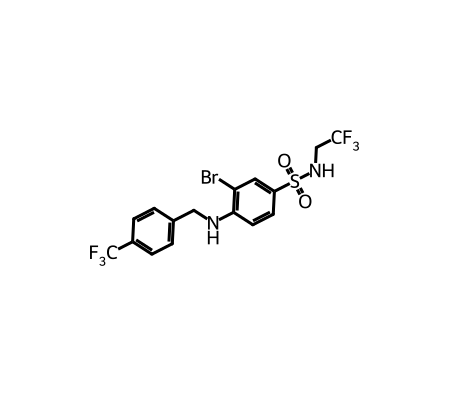 O=S(=O)(NCC(F)(F)F)c1ccc(NCc2ccc(C(F)(F)F)cc2)c(Br)c1